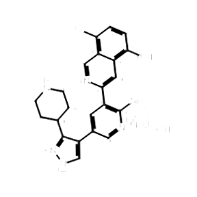 Cc1ccc(F)c2cnc(-c3cc(-c4c[nH]nc4C4CCNCC4)cnc3N)cc12.Cl.Cl.Cl